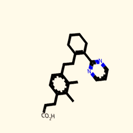 Cc1c(CCC(=O)O)ccc(CCC2=C(c3ncccn3)CCCC2)c1C